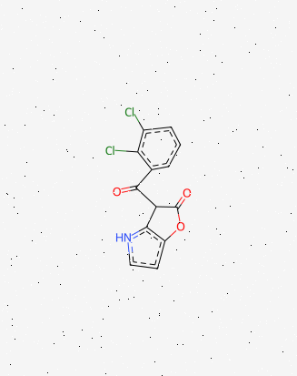 O=C1Oc2cc[nH]c2C1C(=O)c1cccc(Cl)c1Cl